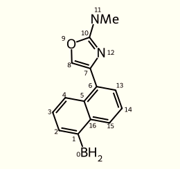 Bc1cccc2c(-c3coc(NC)n3)cccc12